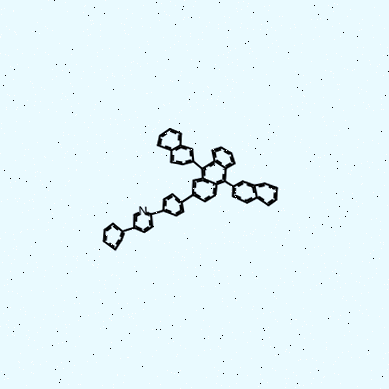 c1ccc(-c2ccc(-c3ccc(-c4ccc5c(-c6ccc7ccccc7c6)c6ccccc6c(-c6ccc7ccccc7c6)c5c4)cc3)nc2)cc1